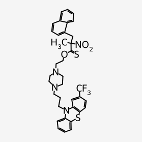 CC(Cc1cccc2ccccc12)(C(=S)OCCN1CCN(CCCN2c3ccccc3Sc3ccc(C(F)(F)F)cc32)CC1)[N+](=O)[O-]